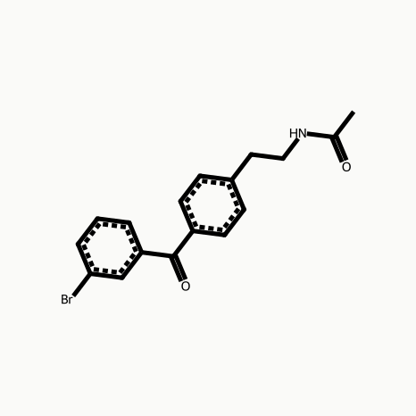 CC(=O)NCCc1ccc(C(=O)c2cccc(Br)c2)cc1